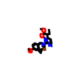 CCC(C(=O)OC)c1ccnc(N(Cc2ccc(OC)cc2)SC2CC2)n1